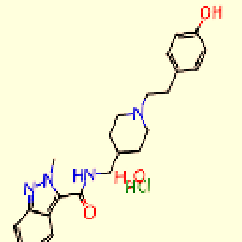 Cl.Cn1nc2ccccc2c1C(=O)NCC1CCN(CCc2ccc(O)cc2)CC1.O